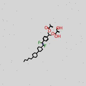 C=C(C)C(=O)OCC(COC(O)C(=C)CO)c1ccc(/C(F)=C(\F)C2CCC(C3CCC(CCCCC)CC3)CC2)cc1